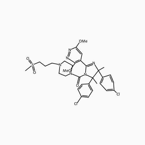 COc1cc(C2=NC(C)(c3ccc(Cl)cc3)C(C)(c3ccc(Cl)cc3)N2C(=O)N2CCN(CCCS(C)(=O)=O)CC2)c(OC)nn1